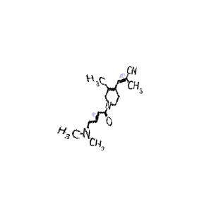 CC1=C(/C=C(\C)C#N)CCN(C(=O)/C=C/CN(C)C)C1